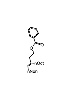 CCCCCCCCC/C=C(\CCCCCCCC)CCOC(=O)c1ccccc1